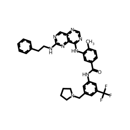 Cc1ccc(C(=O)Nc2cc(CN3CCCC3)cc(C(F)(F)F)c2)cc1Nc1ncnc2cnc(NCCc3ccccc3)nc12